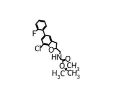 CC(C)(C)OC(=O)NCC1Cc2cc(-c3ccccc3F)cc(Cl)c2O1